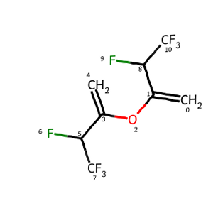 C=C(OC(=C)C(F)C(F)(F)F)C(F)C(F)(F)F